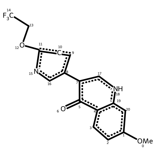 COc1ccc2c(=O)c(-c3ccc(OCC(F)(F)F)nc3)c[nH]c2c1